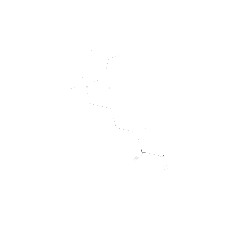 C=C(C)C(=O)OCCC[Si](OC)(OC)OC[SiH3]